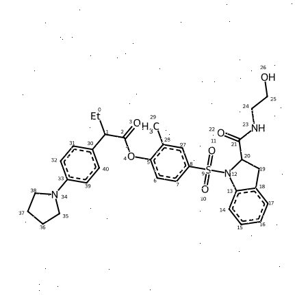 CCC(C(=O)Oc1ccc(S(=O)(=O)N2c3ccccc3CC2C(=O)NCCO)cc1C)c1ccc(N2CCCC2)cc1